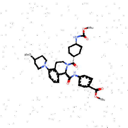 COC1CCN(c2cccc3c2CCN(C(=O)[C@H]2CC[C@H](NC(=O)OC(C)(C)C)CC2)C3C(=O)Nc2ccc(C(=O)OC(C)(C)C)cc2)CC1